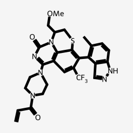 C=CC(=O)N1CCN(c2nc(=O)n3c4c(c(-c5c(C)ccc6[nH]ncc56)c(C(F)(F)F)cc24)SCC3COC)CC1